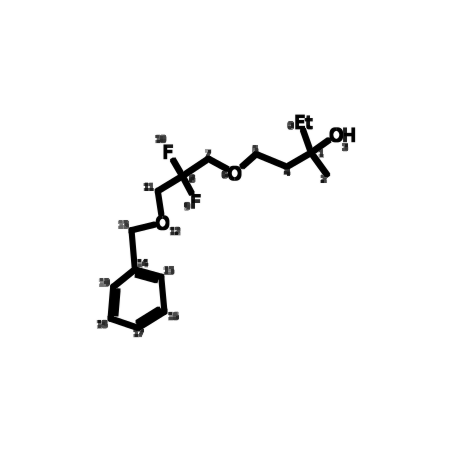 CCC(C)(O)CCOCC(F)(F)COCc1ccccc1